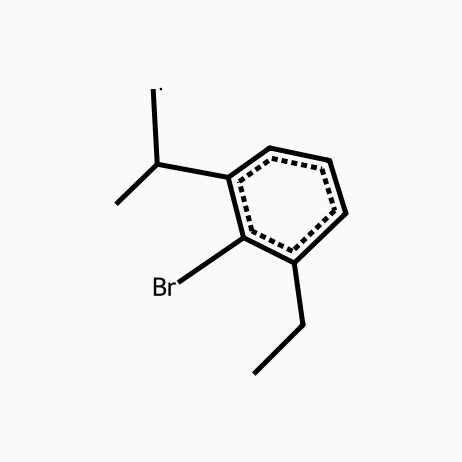 [CH2]C(C)c1cccc(CC)c1Br